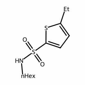 CCCCCCNS(=O)(=O)c1ccc(CC)s1